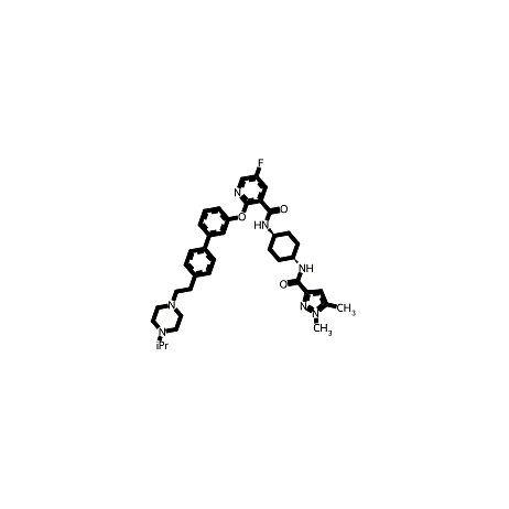 Cc1cc(C(=O)N[C@H]2CC[C@H](NC(=O)c3cc(F)cnc3Oc3cccc(-c4ccc(CCN5CCN(C(C)C)CC5)cc4)c3)CC2)nn1C